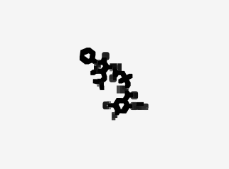 COc1cc(F)c(Cl)cc1C(=O)NCC(C)(C)CC(=O)Nc1c(CN(C)C)n(C)n(-c2ccccc2)c1=O